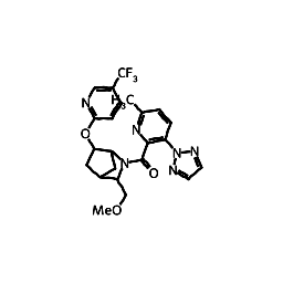 COCC1C2CC(Oc3ccc(C(F)(F)F)cn3)C(C2)N1C(=O)c1nc(C)ccc1-n1nccn1